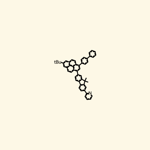 CC(C)(C)c1cc2ccc3c(-c4ccc(-c5ccccc5)cc4)cc(-c4ccc5c(c4)C(C)(C)c4cc(-c6ccccn6)ccc4-5)c4ccc(c1)c2c34